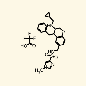 Cn1cnc(S(=O)(=O)NCc2ccc3c(c2)C(Cc2ccccc2)C(NCC2CC2)CO3)c1.O=C(O)C(F)(F)F